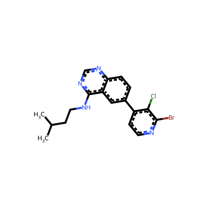 CC(C)CCNc1ncnc2ccc(-c3ccnc(Br)c3Cl)cc12